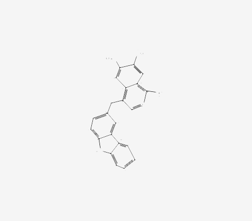 CCCc1ncc(Cc2ccc3oc4ccccc4c3c2)c2cc(OC)c(OC)cc12.Cl